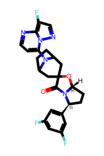 O=C1N2[C@@H](CC[C@H]2c2cc(F)cc(F)c2)OC12CC1CCC(C2)N1c1ccnc2c(F)cnn12